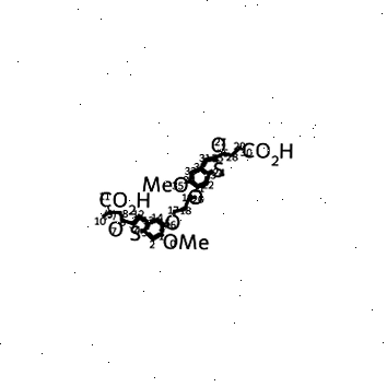 COc1cc2sc(C(=O)C[C@H](C)C(=O)O)cc2cc1OCCCOc1cc2sc(C(=O)CCC(=O)O)cc2cc1OC